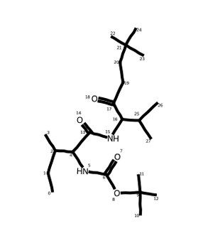 CCC(C)C(NC(=O)OC(C)(C)C)C(=O)NC(C(=O)CCC(C)(C)C)C(C)C